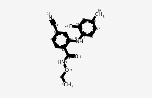 CCONC(=O)c1ccc(C#N)cc1Nc1ccc(C)cc1F